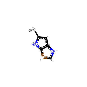 O=Cc1cc2ncsc2[nH]1